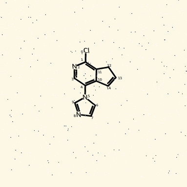 Clc1ncc(-n2ccnc2)c2c1CC=C2